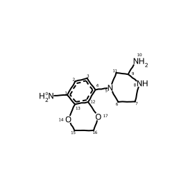 Nc1ccc(N2CCNC(N)C2)c2c1OCCO2